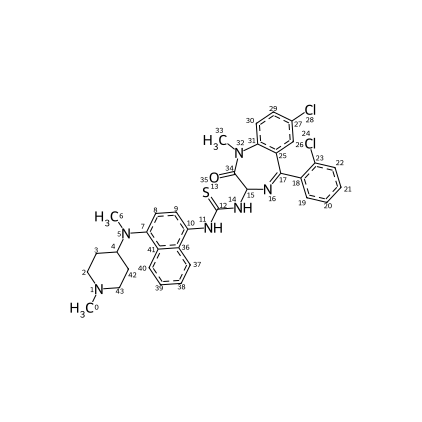 CN1CCC(N(C)c2ccc(NC(=S)NC3N=C(c4ccccc4Cl)c4cc(Cl)ccc4N(C)C3=O)c3ccccc23)CC1